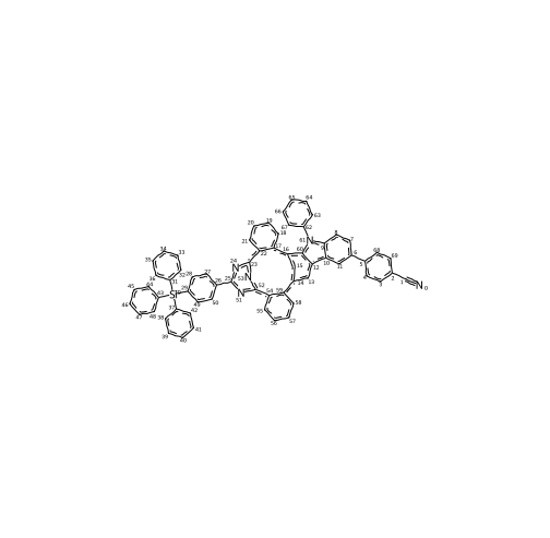 N#Cc1ccc(-c2ccc3c(c2)c2cc4cc(c5ccccc5c5nc(-c6ccc([Si](c7ccccc7)(c7ccccc7)c7ccccc7)cc6)nc(n5)c5ccccc45)c2n3-c2ccccc2)cc1